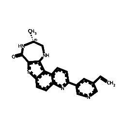 C=Cc1cncc(-c2ccc3c(ccc4sc5c(c43)NC[C@@H](C)NC5=O)n2)c1